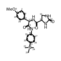 COc1ccc(C(NC(=O)C2CNC(=O)N2)C(=O)Nc2ccc([Si](C)(C)C)cc2)cc1